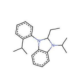 CCC1N(c2ccccc2C(C)C)c2ccccc2N1C(C)C